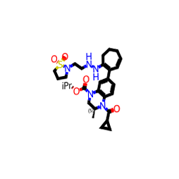 CC(C)OC(=O)N1C[C@H](C)N(C(=O)C2CC2)c2ccc(C3=C(NNCCN4CCCS4(=O)=O)CCCC=C3)cc21